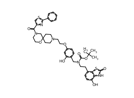 CC(C)(C)OC(=O)N(CCc1ccc(O)c2[nH]c(=O)sc12)Cc1ccc(OCCN2CCC3(CC2)CN(C(=O)c2csc(-c4ccccc4)n2)CCO3)cc1O